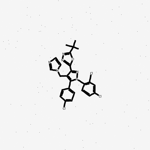 CC(C)(C)c1nnc(-c2nn(-c3ccc(Cl)cc3Cl)c(-c3ccc(Cl)cc3)c2Cn2ccnc2)o1